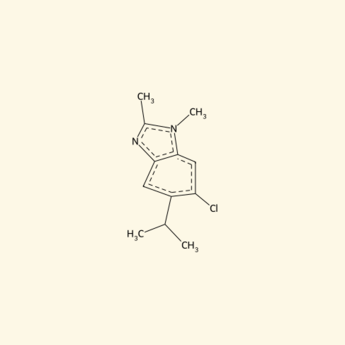 Cc1nc2cc(C(C)C)c(Cl)cc2n1C